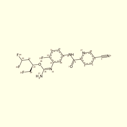 N#Cc1ccc(C(=O)Nc2ccc(F)c(/N=C(/N)O[C@@H](CF)CC(F)F)c2)nc1